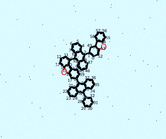 C1=C(c2c3ccccc3c(-c3cccc4oc5cc(-c6c7ccccc7c(-c7ccccc7)c7ccccc67)ccc5c34)c3ccccc23)CC2C(=C1)Oc1ccccc12